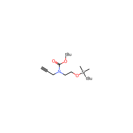 C#CCN(CCO[Si](C)(C)C(C)(C)C)C(=O)OC(C)(C)C